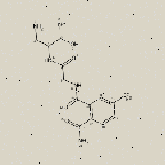 CCCC(O)C(CN)NC(=O)CNC(=O)c1cc(C(F)(F)F)ccc1C(N)=O